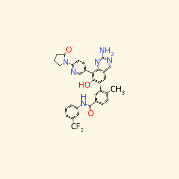 Cc1ccc(C(=O)Nc2cccc(C(F)(F)F)c2)cc1-c1cc2cnc(N)nc2c(-c2ccc(N3CCCC3=O)nc2)c1O